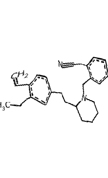 C=Cc1ccc(CCC2CCCCN2Cc2ccccc2C#N)cc1CC